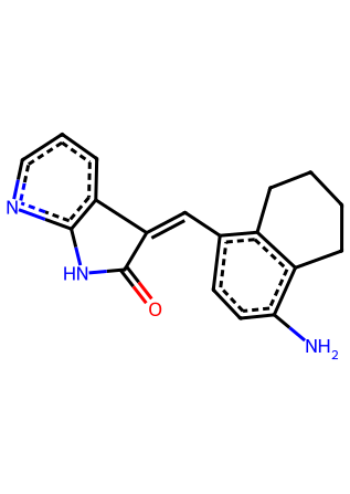 Nc1ccc(C=C2C(=O)Nc3ncccc32)c2c1CCCC2